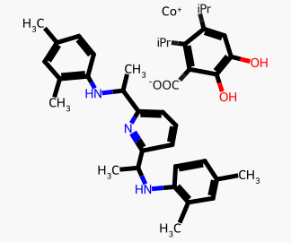 CC(C)c1cc(O)c(O)c(C(=O)[O-])c1C(C)C.Cc1ccc(NC(C)c2cccc(C(C)Nc3ccc(C)cc3C)n2)c(C)c1.[Co+]